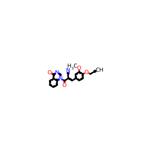 C#CCOc1ccc(/C=C(\C#N)C(=O)n2cnc(=O)c3ccccc32)cc1OC